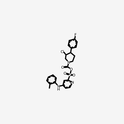 Cc1ccccc1Nc1ccnc(S(=O)(=O)OC(=O)N2CCC(c3ccc(F)cc3)C(Cl)C2)c1